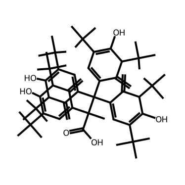 C=C1C(C(C)(C(=O)O)C(C2=CC(C(C)(C)C)=C(O)C(C(C)(C)C)C2=C)(C2=CC(C(C)(C)C)=C(O)C(C(C)(C)C)C2=C)C2=CC(C(C)(C)C)=C(O)C(C(C)(C)C)C2=C)=CC(C(C)(C)C)=C(O)C1C(C)(C)C